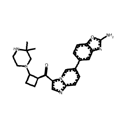 CC1(C)CN(C2CCC2C(=O)c2cnc3ccc(-c4ccc5oc(N)nc5c4)cn23)CCN1